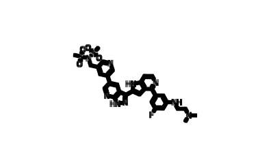 CN(C)CCNc1cc(F)cc(-c2nccc3[nH]c(-c4n[nH]c5ncc(-c6cncc(CN(S(C)(=O)=O)S(C)(=O)=O)c6)cc45)cc23)c1